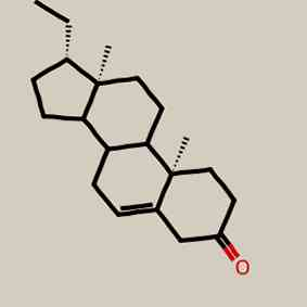 CC[C@H]1CCC2C3CC=C4CC(=O)CC[C@]4(C)C3CC[C@@]21C